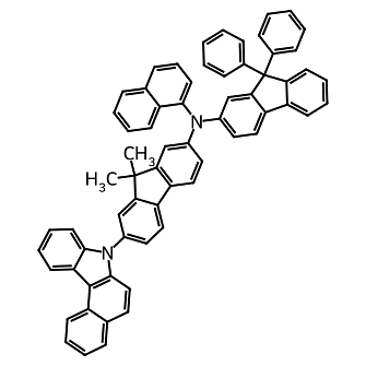 CC1(C)c2cc(N(c3ccc4c(c3)C(c3ccccc3)(c3ccccc3)c3ccccc3-4)c3cccc4ccccc34)ccc2-c2ccc(-n3c4ccccc4c4c5ccccc5ccc43)cc21